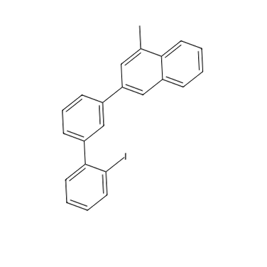 Cc1cc(-c2cccc(-c3ccccc3I)c2)cc2ccccc12